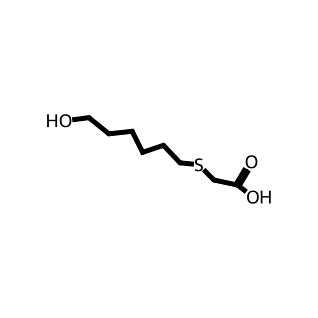 O=C(O)CSCCCCCCO